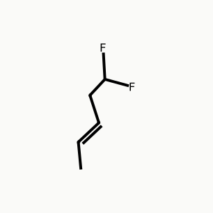 CC=CCC(F)F